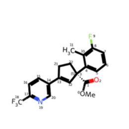 COC(=O)[C@]1(c2cccc(F)c2C)C=C(c2ccc(C(F)(F)F)nc2)CC1